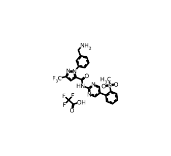 CS(=O)(=O)c1ccccc1-c1cnc(NC(=O)c2cc(C(F)(F)F)nn2-c2cccc(CN)c2)nc1.O=C(O)C(F)(F)F